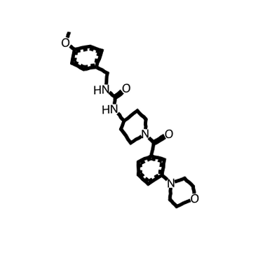 COc1ccc(CNC(=O)NC2CCN(C(=O)c3cccc(N4CCOCC4)c3)CC2)cc1